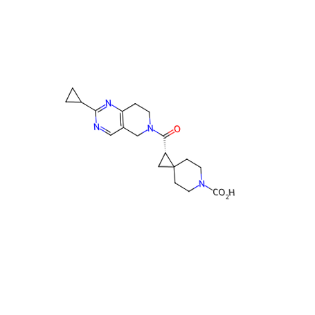 O=C(O)N1CCC2(CC1)C[C@@H]2C(=O)N1CCc2nc(C3CC3)ncc2C1